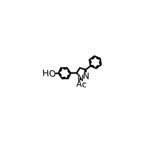 CC(=O)N1N=C(c2ccccc2)CC1c1ccc(O)cc1